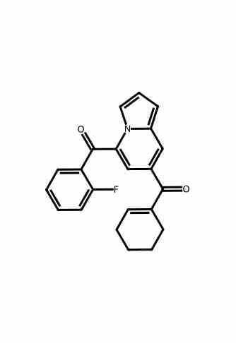 O=C(C1=CCCCC1)c1cc(C(=O)c2ccccc2F)n2cccc2c1